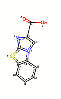 O=C(O)c1cn2c(n1)sc1ccccc12